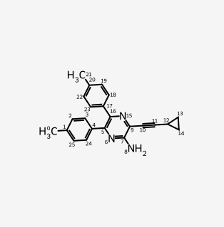 Cc1ccc(-c2nc(N)c(C#CC3CC3)nc2-c2ccc(C)cc2)cc1